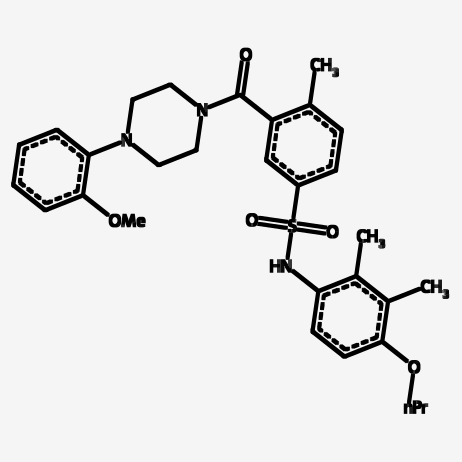 CCCOc1ccc(NS(=O)(=O)c2ccc(C)c(C(=O)N3CCN(c4ccccc4OC)CC3)c2)c(C)c1C